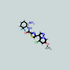 COc1cc(Cl)c2c(-c3csc(C(=O)N[C@@H]4[C@@H](N)CCCC4(F)F)n3)cnn2c1